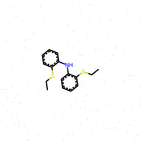 CCSc1ccccc1Nc1ccccc1SCC